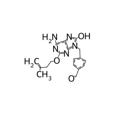 C=C(C)CCOc1nc(N)c2nc(O)n(Cc3ccc(C=O)cc3)c2n1